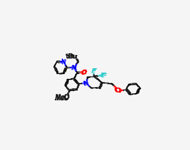 COc1ccc(C(=O)N(CC(C)(C)C)c2ccccn2)c(N2CCC(COc3ccccc3)C(F)(F)C2)c1